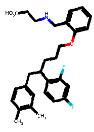 Cc1ccc(CC(CCCOc2ccccc2CNCCC(=O)O)c2ccc(F)cc2F)cc1C